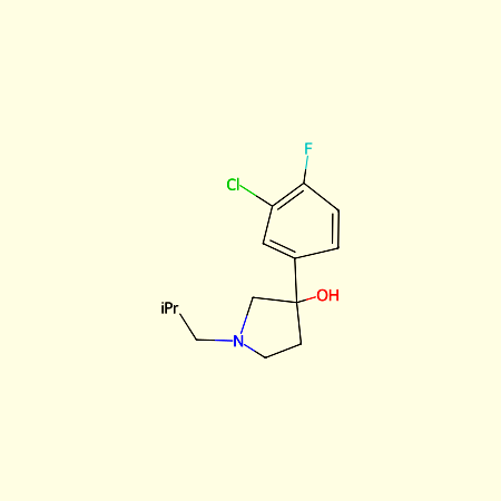 CC(C)CN1CCC(O)(c2ccc(F)c(Cl)c2)C1